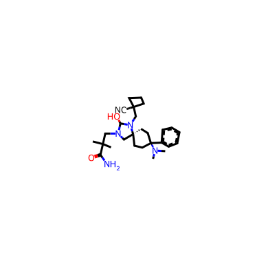 CN(C)[C@]1(c2ccccc2)CC[C@]2(CC1)CN(CC(C)(C)C(N)=O)C(O)N2CC1(C#N)CCC1